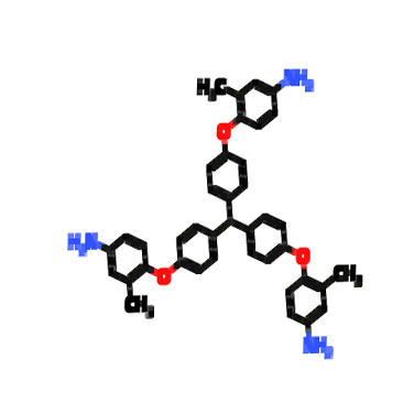 Cc1cc(N)ccc1Oc1ccc(C(c2ccc(Oc3ccc(N)cc3C)cc2)c2ccc(Oc3ccc(N)cc3C)cc2)cc1